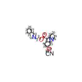 CN(CCOC(=O)c1c2ccc(OCC#N)cc2n2ccccc12)Cc1ccccc1